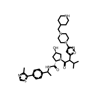 Cc1ncsc1-c1ccc(C(C)NC(=O)[C@@H]2C[C@@H](O)CN2C(=O)C(c2cc(N3CCN(CC4CCNCC4)CC3)no2)C(C)C)cc1